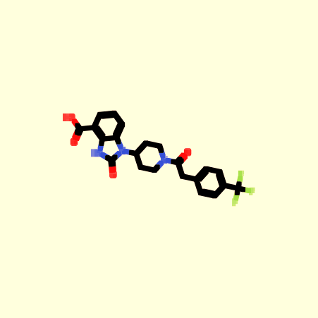 O=C(O)c1cccc2c1[nH]c(=O)n2C1CCN(C(=O)Cc2ccc(C(F)(F)F)cc2)CC1